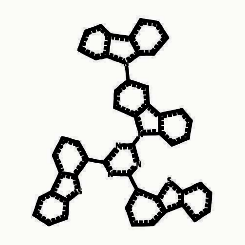 c1ccc2c(c1)sc1c(-c3nc(-c4cccc5c4sc4ccccc45)nc(-n4c5ccccc5c5cc(-n6c7ccccc7c7ccccc76)ccc54)n3)cccc12